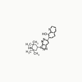 CC1(C)CC(n2nnc3cc(-c4ccc5cccnc5c4O)nnc32)CC(C)(C)N1